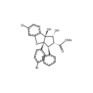 COC(=O)[C@H]1[C@@H](O)[C@@]2(O)c3ncc(Cl)cc3O[C@@]2(c2ccc(Br)cc2)[C@@H]1c1ccccc1